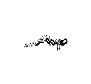 C=C1CC(C(=O)NC2(C#N)CCCCC2)CCN1c1ccc(N2CC(CNC(C)=O)OC2=O)cc1F